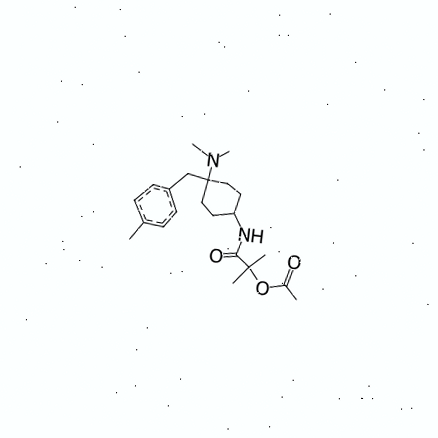 CC(=O)OC(C)(C)C(=O)NC1CCC(Cc2ccc(C)cc2)(N(C)C)CC1